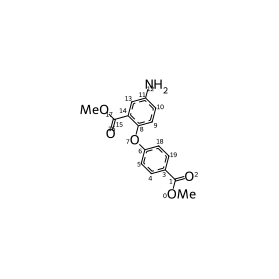 COC(=O)c1ccc(Oc2ccc(N)cc2C(=O)OC)cc1